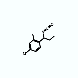 CCC(N=C=O)c1ccc(Cl)cc1C